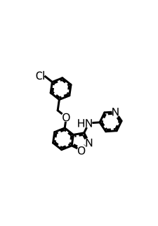 Clc1cccc(COc2cccc3onc(Nc4cccnc4)c23)c1